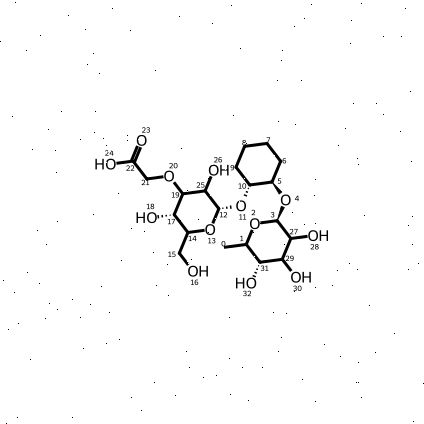 CC1O[C@@H](O[C@@H]2CCCC[C@H]2O[C@@H]2OC(CO)[C@H](O)C(OCC(=O)O)C2O)C(O)C(O)[C@@H]1O